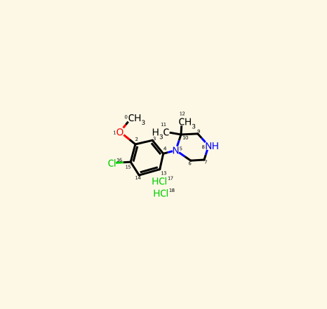 COc1cc(N2CCNCC2(C)C)ccc1Cl.Cl.Cl